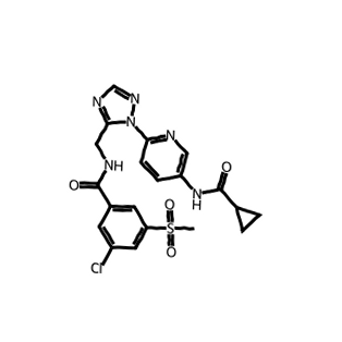 CS(=O)(=O)c1cc(Cl)cc(C(=O)NCc2ncnn2-c2ccc(NC(=O)C3CC3)cn2)c1